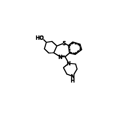 OC1CCC2N=C(N3CCNCC3)c3ccccc3SC2C1